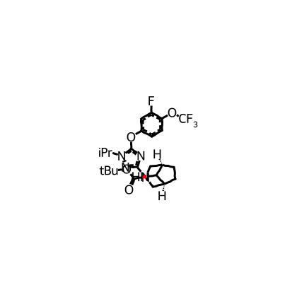 CC(C)n1nc(NC2[C@@H]3CC[C@H]2CN(C(=O)OC(C)(C)C)C3)nc1Oc1ccc(OC(F)(F)F)c(F)c1